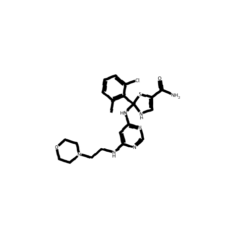 Cc1cccc(Cl)c1C1(Nc2cc(NCCN3CCOCC3)ncn2)NC=C(C(N)=O)S1